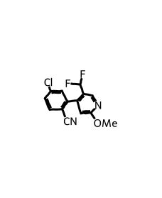 COc1cc(-c2cc(Cl)ccc2C#N)c(C(F)F)cn1